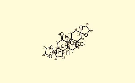 C[C@]12CC(=O)[C@H]3[C@@H](C[C@H]4O[C@]45CC4(CC[C@]35C)OCCO4)[C@@H]1CCC21OCCO1